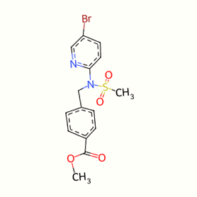 COC(=O)c1ccc(CN(c2ccc(Br)cn2)S(C)(=O)=O)cc1